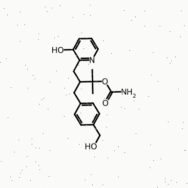 CC(C)(OC(N)=O)C(Cc1ccc(CO)cc1)Cc1ncccc1O